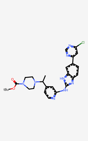 CC(c1ccnc(Nc2nc3ccc(-c4cc(Cl)ncn4)cc3[nH]2)c1)N1CCN(C(=O)OC(C)(C)C)CC1